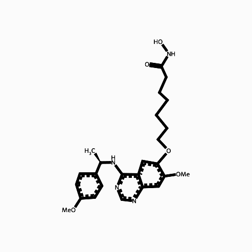 COc1ccc([C@@H](C)Nc2ncnc3cc(OC)c(OCCCCCCC(=O)NO)cc23)cc1